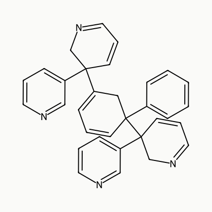 C1=CC(C2=CC=CC(c3ccccc3)(C3(c4cccnc4)C=CC=NC3)C2)(c2cccnc2)CN=C1